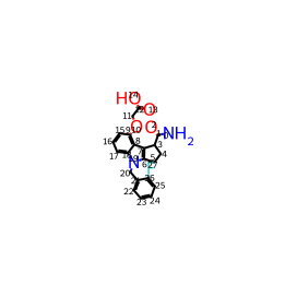 NC(=O)C1CCc2c1c1c(OCC(=O)O)cccc1n2Cc1ccccc1F